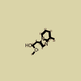 COC(O)Cc1cnc2c(C)cccn12